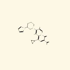 Cc1c(N2CCCC(n3cccc3)C2)c(F)cn2c(=O)c(C(=O)O)cc(C3CC3)c12